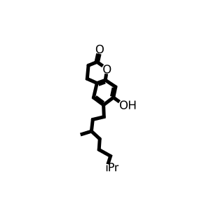 CC(C)CCCC(C)CCc1cc2c(cc1O)OC(=O)CC2